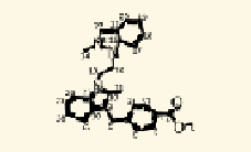 COC(=O)c1ccc(Cc2c(C)n(CCN3C4C=CC=CC4=CN3C)c3ccccc23)cc1